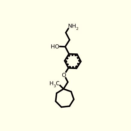 CC1(COc2cccc(C(O)CCN)c2)CCCCCC1